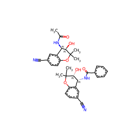 CC(=O)N[C@@H]1c2cc(C#N)ccc2OC(C)(C)[C@@H]1O.CC1(C)Oc2ccc(C#N)cc2[C@@H](NC(=O)c2ccccc2)[C@H]1O